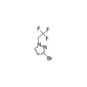 FC(F)(F)Cn1ccc(Br)n1